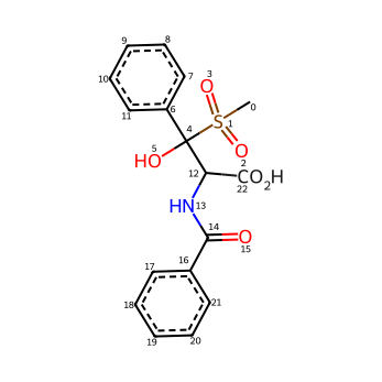 CS(=O)(=O)C(O)(c1ccccc1)C(NC(=O)c1ccccc1)C(=O)O